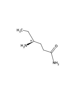 CC[C@H](N)CCC(N)=O